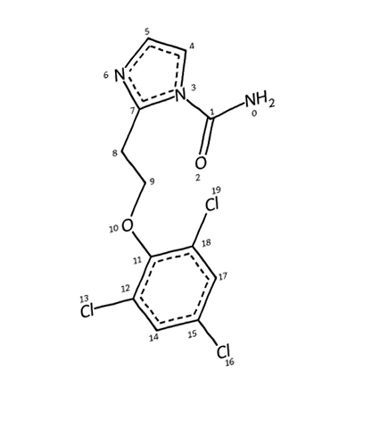 NC(=O)n1ccnc1CCOc1c(Cl)cc(Cl)cc1Cl